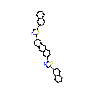 c1ccc2cc(-c3cnc(-c4ccc5cc6cc(-c7ncc(-c8ccc9ccccc9c8)s7)ccc6cc5c4)s3)ccc2c1